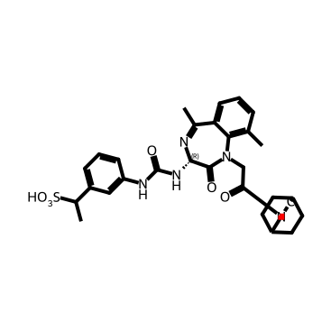 CC1=N[C@@H](NC(=O)Nc2cccc(C(C)S(=O)(=O)O)c2)C(=O)N(CC(=O)N2CC3CCC(CC3)C2)c2c(C)cccc21